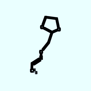 FC(F)(F)C=NOCC1OCCO1